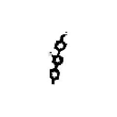 Cc1ccc(-c2ccc(-c3ccc(CF)cc3)c(F)c2)cc1